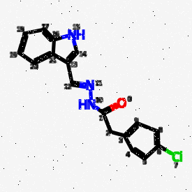 O=C(Cc1ccc(Cl)cc1)N/N=C/c1c[nH]c2ccccc12